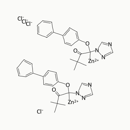 CC(C)(C)C(=O)[C]([Zn+2])(Oc1ccc(-c2ccccc2)cc1)n1cncn1.CC(C)(C)C(=O)[C]([Zn+2])(Oc1ccc(-c2ccccc2)cc1)n1cncn1.[Cl-].[Cl-].[Cl-].[Cl-]